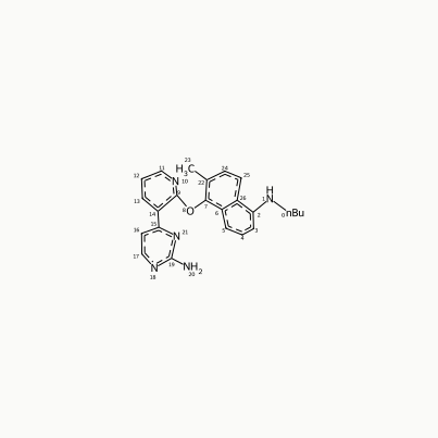 CCCCNc1cccc2c(Oc3ncccc3-c3ccnc(N)n3)c(C)ccc12